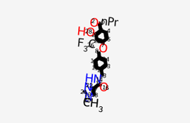 CCCC(=O)c1ccc(OCc2ccc(CNC(=O)c3cn(C)cn3)cc2)c(C(F)(F)F)c1O